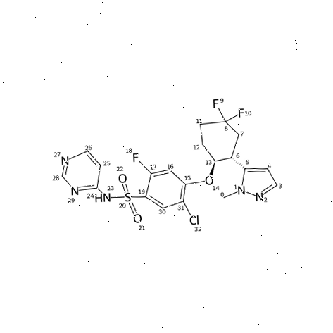 Cn1nccc1[C@H]1CC(F)(F)CC[C@@H]1Oc1cc(F)c(S(=O)(=O)Nc2ccncn2)cc1Cl